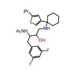 CC(=O)NC(Cc1cc(F)cc(F)c1)C(O)CNC1(c2csc(C(C)C)c2)CCCCC1